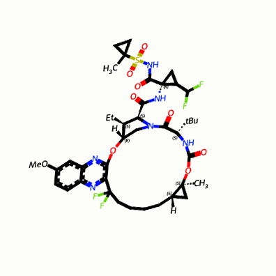 CC[C@@H]1[C@@H]2CN(C(=O)[C@H](C(C)(C)C)NC(=O)O[C@@]3(C)C[C@@H]3CCCCC(F)(F)c3nc4ccc(OC)cc4nc3O2)[C@@H]1C(=O)N[C@]1(C(=O)NS(=O)(=O)C2(C)CC2)CC1C(F)F